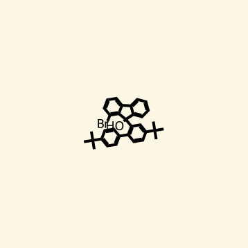 CC(C)(C)c1ccc(-c2ccc(C(C)(C)C)cc2C2(O)c3ccccc3-c3cccc(Br)c32)cc1